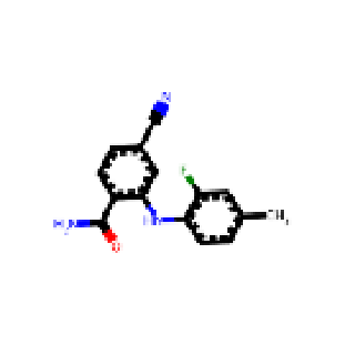 Cc1ccc(Nc2cc(C#N)ccc2C(N)=O)c(F)c1